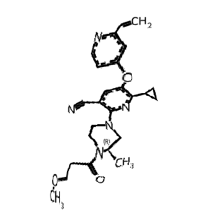 C=Cc1cc(Oc2cc(C#N)c(N3CCN(C(=O)CCOC)[C@H](C)C3)nc2C2CC2)ccn1